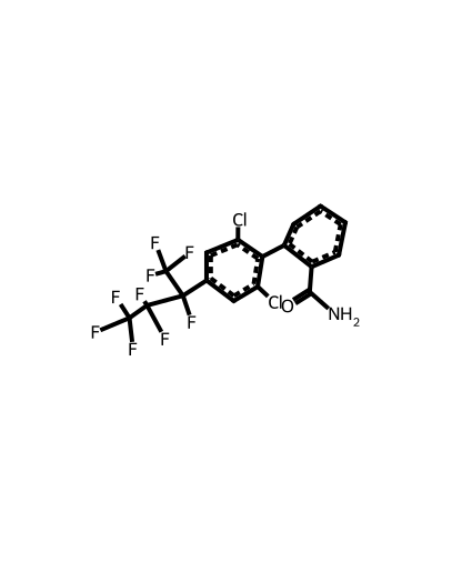 NC(=O)c1ccccc1-c1c(Cl)cc(C(F)(C(F)(F)F)C(F)(F)C(F)(F)F)cc1Cl